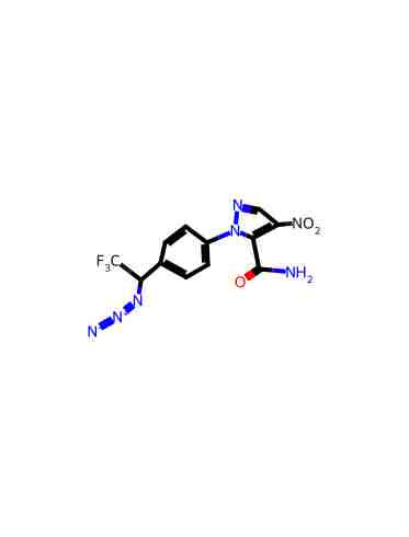 [N-]=[N+]=NC(c1ccc(-n2ncc([N+](=O)[O-])c2C(N)=O)cc1)C(F)(F)F